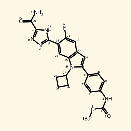 CC(C)(C)OC(=O)Nc1ccc(-c2cc3cc(F)c(-c4nnc(C(N)=O)[nH]4)cc3n2C2CCC2)cc1